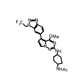 COc1nc(NC2CCC(NC(C)=O)CC2)nn2ccc(-c3ccc4nnn(CC(F)(F)F)c4c3)c12